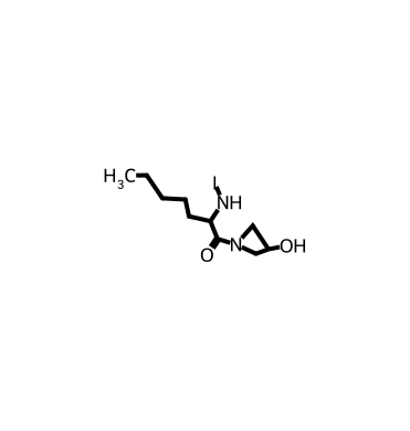 CCCCCC(NI)C(=O)N1CC(O)C1